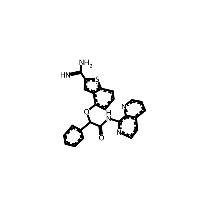 N=C(N)c1cc2c(OC(C(=O)Nc3nccc4cccnc34)c3ccccc3)cccc2s1